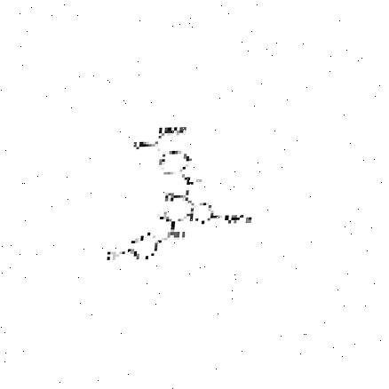 COC(=O)c1ccc(NC(=O)C2CC(OC)CN2C(=O)Nc2ccc(Cl)cc2)cc1